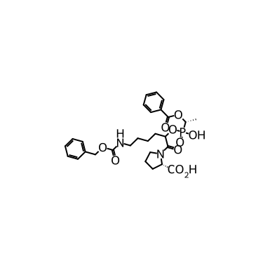 C[C@@H](OC(=O)c1ccccc1)P(=O)(O)OC(CCCCNC(=O)OCc1ccccc1)C(=O)N1CCC[C@H]1C(=O)O